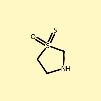 O=S1(=S)CCNC1